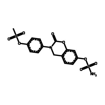 CS(=O)(=O)Oc1ccc(N2Cc3ccc(OS(N)(=O)=O)cc3OC2=O)cc1